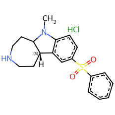 CN1c2ccc(S(=O)(=O)c3ccccc3)cc2[C@@H]2CCNCCC21.Cl